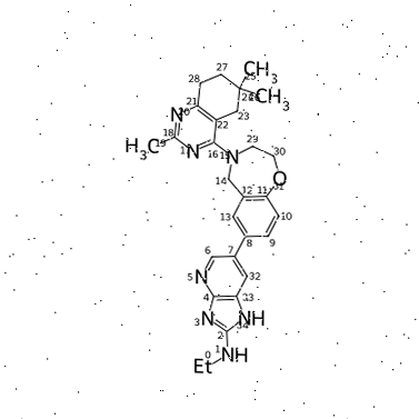 CCNc1nc2ncc(-c3ccc4c(c3)CN(c3nc(C)nc5c3CC(C)(C)CC5)CCO4)cc2[nH]1